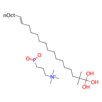 CCCCCCCCC=CCCCCCCCCCCCCC(C)(C)C(O)(O)O.C[N+](C)(C)CCCP(=O)=O